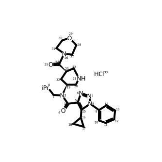 CC(C)CN(C(=O)c1nnn(-c2ccccc2)c1C1CC1)[C@@H]1CNC[C@H](C(=O)N2CCOCC2)C1.Cl